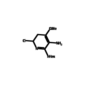 CCCCCCC1=NC(Cl)CC(OC)=C1N